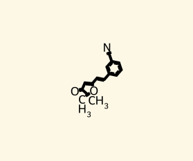 CC1(C)OC(C=Cc2cccc(C#N)c2)=CC1=O